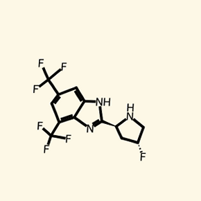 F[C@H]1CN[C@H](c2nc3c(C(F)(F)F)cc(C(F)(F)F)cc3[nH]2)C1